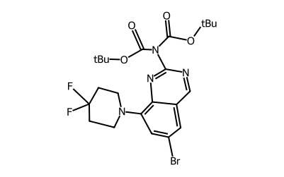 CC(C)(C)OC(=O)N(C(=O)OC(C)(C)C)c1ncc2cc(Br)cc(N3CCC(F)(F)CC3)c2n1